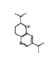 CC(C)c1cnc2c(c1)NC(C(C)C)CC2